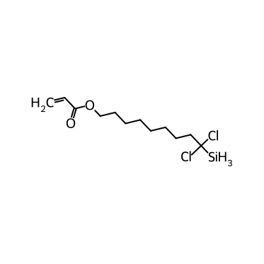 C=CC(=O)OCCCCCCCCC([SiH3])(Cl)Cl